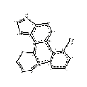 Brc1cccc2c3c(c4c5c(ccc4c12)N=CN=5)CC=CC=3